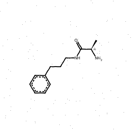 C[C@@H](N)C(=O)NCCCc1ccccc1